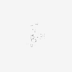 CC(C)(C)OC(=O)N1CCN(c2ccc(OB(O)O)cc2)CC1.CC(C)(O)C(C)(C)O